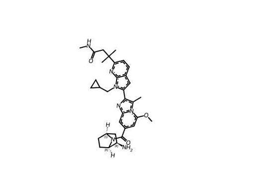 CNC(=O)CC(C)(C)c1ccc2cc(-c3nc4cc(C(=O)N5[C@H]6CC[C@@H]5[C@H](N)C6)cc(OC)n4c3C)n(CC3CC3)c2n1